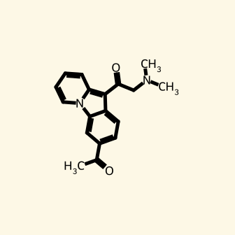 CC(=O)c1ccc2c(C(=O)CN(C)C)c3ccccn3c2c1